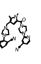 Cc1c(CN2CCN(c3ccccc3C#N)CC2)cc(C(=O)N2CCN(c3cc(C#N)ccn3)CC2)n1C